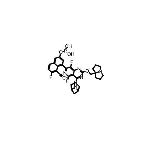 C#Cc1c(F)ccc2cc(OP(O)O)cc(-c3nc(F)c4c(N5CC6CC(C5)N6)nc(OCC56CCCN5CCC6)nc4c3F)c12